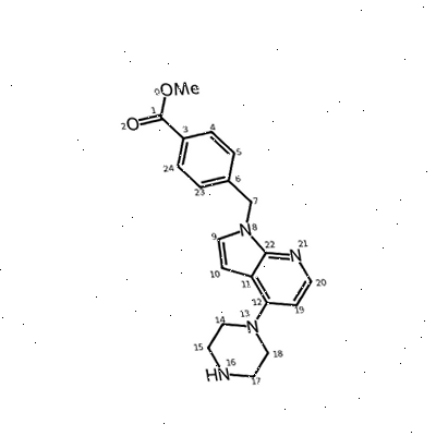 COC(=O)c1ccc(Cn2ccc3c(N4CCNCC4)ccnc32)cc1